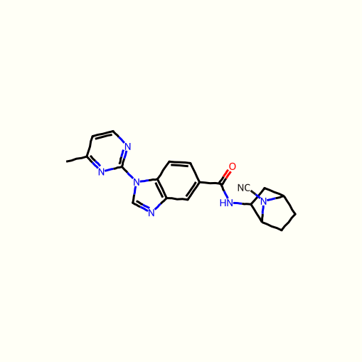 Cc1ccnc(-n2cnc3cc(C(=O)NC4CC5CCC4N5C#N)ccc32)n1